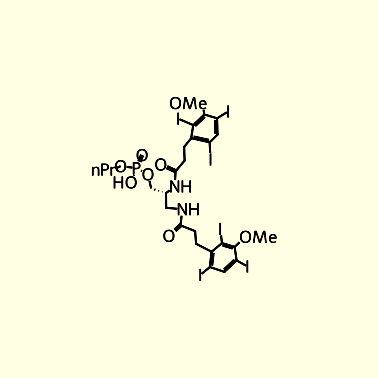 CCCOP(=O)(O)OC[C@@H](CNC(=O)CCc1c(I)cc(I)c(OC)c1I)NC(=O)CCc1c(I)cc(I)c(OC)c1I